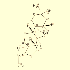 CC=C1CC[C@H]2[C@@H]3CC[C@H]4C[C@](C)(O)CC[C@]4(CO)[C@H]3CC[C@]12C